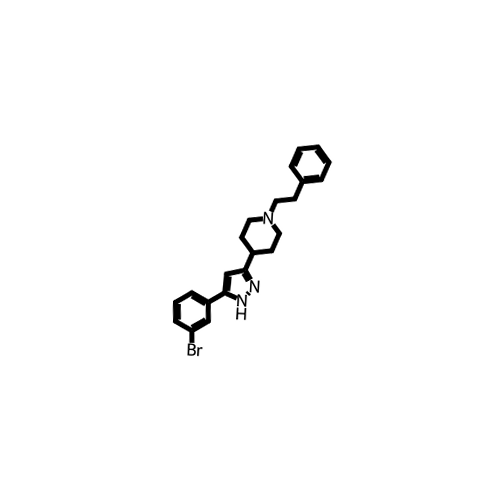 Brc1cccc(-c2cc(C3CCN(CCc4ccccc4)CC3)n[nH]2)c1